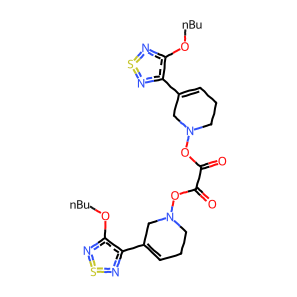 CCCCOc1nsnc1C1=CCCN(OC(=O)C(=O)ON2CCC=C(c3nsnc3OCCCC)C2)C1